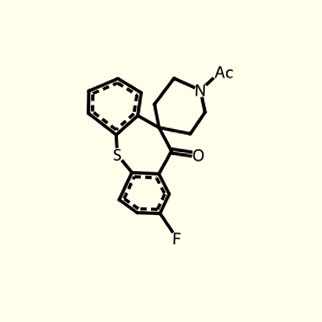 CC(=O)N1CCC2(CC1)C(=O)c1cc(F)ccc1Sc1ccccc12